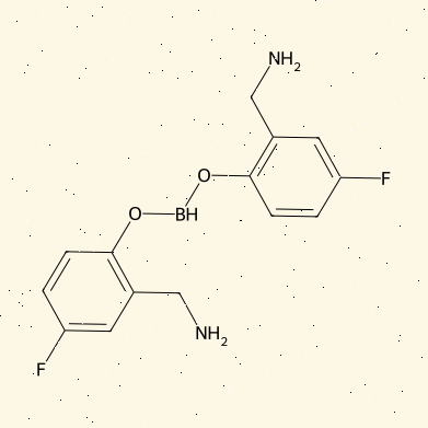 NCc1cc(F)ccc1OBOc1ccc(F)cc1CN